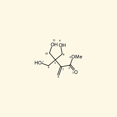 C=C(C(=O)OC)C(CO)(CO)CO